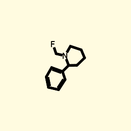 FCN1CCCCC1c1ccccc1